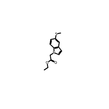 CCOC(=O)Cn1ccc2cc(SC)ccc21